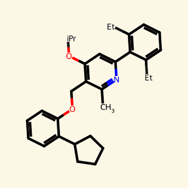 CCc1cccc(CC)c1-c1cc(OC(C)C)c(COc2ccccc2C2CCCC2)c(C)n1